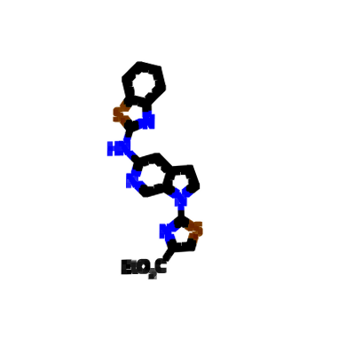 CCOC(=O)c1csc(-n2ccc3cc(Nc4nc5ccccc5s4)ncc32)n1